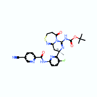 CC(C)(C)OC(=O)NC1=N[C@@](C)(c2nc(NC(=O)c3ccc(C#N)cn3)ccc2F)CC2=NSCCC(=O)N21